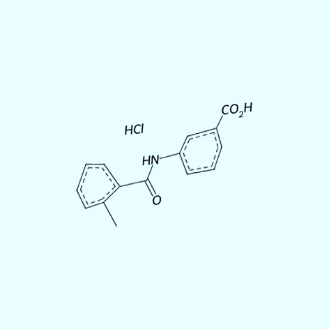 Cc1ccccc1C(=O)Nc1cccc(C(=O)O)c1.Cl